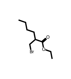 CCCCC(CBr)C(=O)OCC